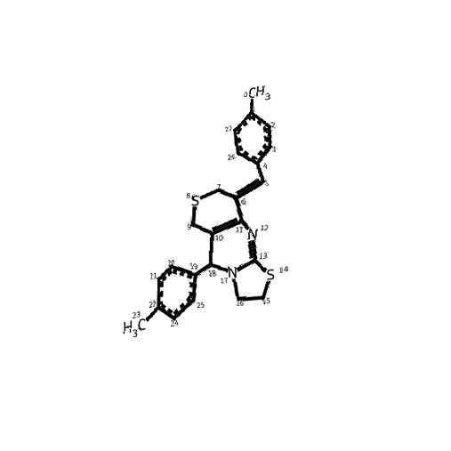 Cc1ccc(C=C2CSCC3=C2N=C2SCCN2C3c2ccc(C)cc2)cc1